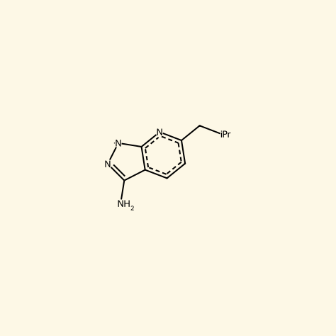 CC(C)Cc1ccc2c(n1)[N]N=C2N